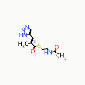 CC(=O)NCCSC(=O)/C(C)=C/c1cnn[nH]1